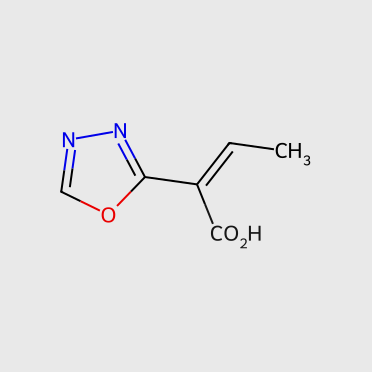 CC=C(C(=O)O)c1nnco1